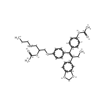 CCCNCC(COc1ccc(/C(=C(/CC)c2ccc3c(c2)OCO3)c2ccc(OC(C)=O)cc2)cc1)OC(C)=O